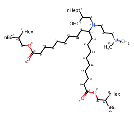 CCCCCCCC(C=O)CN(CCCN(C)C)C(CCCCCCCCC(=O)OCC(CCCC)CCCCCC)CCCCCCCCC(=O)OCC(CCCC)CCCCCC